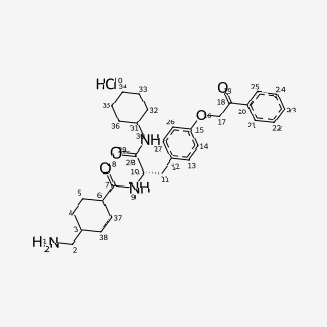 Cl.NCC1CCC(C(=O)N[C@@H](Cc2ccc(OCC(=O)c3ccccc3)cc2)C(=O)NC2CCCCC2)CC1